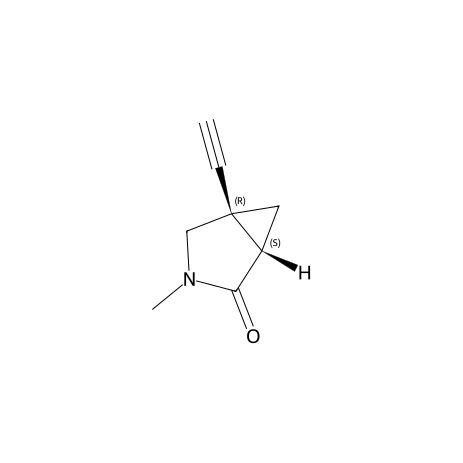 C#C[C@@]12C[C@@H]1C(=O)N(C)C2